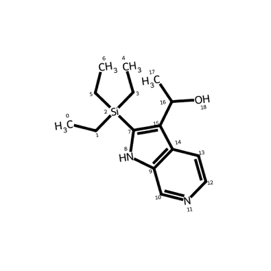 CC[Si](CC)(CC)c1[nH]c2cnccc2c1C(C)O